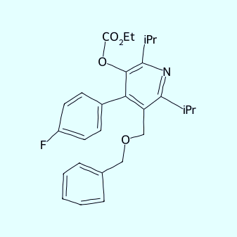 CCOC(=O)Oc1c(C(C)C)nc(C(C)C)c(COCc2ccccc2)c1-c1ccc(F)cc1